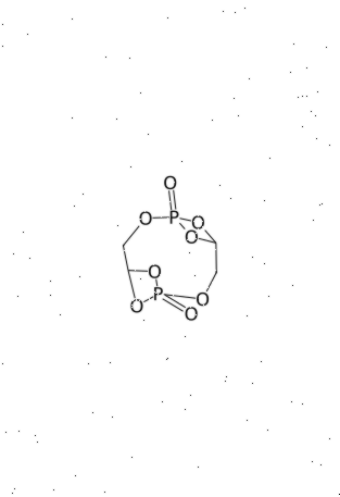 O=P12OCC3OP(=O)(OCC(O1)O2)O3